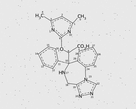 Cc1cc(C)nc(OC(C(=O)O)C2(c3ccccc3)NCc3nncn3-c3ccccc32)n1